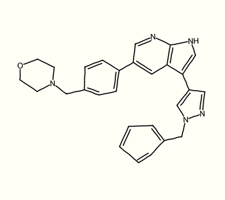 c1ccc(Cn2cc(-c3c[nH]c4ncc(-c5ccc(CN6CCOCC6)cc5)cc34)cn2)cc1